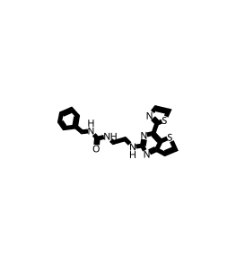 O=C(NCCNc1nc(-c2nccs2)c2sccc2n1)NCc1ccccc1